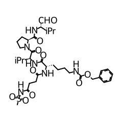 CC(C)[C@H](NC(=O)[C@H](CCCCNC(=O)OCc1ccccc1)NC(=O)CCC(=O)NS(C)(=O)=O)C(=O)N1CCC[C@H]1C(=O)N[C@H](C=O)C(C)C